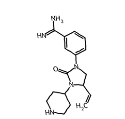 C=CC1CN(c2cccc(C(=N)N)c2)C(=O)N1C1CCNCC1